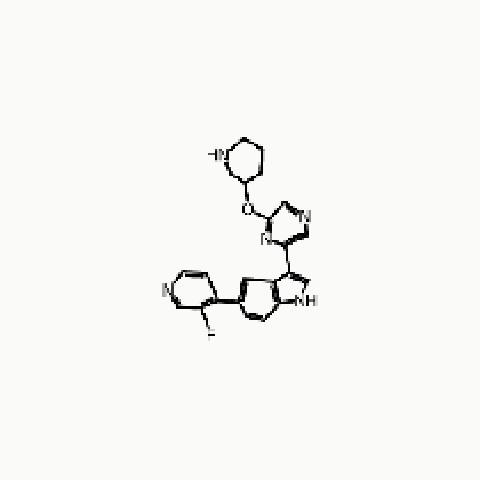 Fc1cnccc1-c1ccc2[nH]cc(-c3cncc(OC4CCCNC4)n3)c2c1